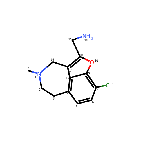 CN1CCc2ccc(Cl)c3oc(CN)c(c23)C1